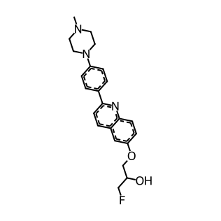 CN1CCN(c2ccc(-c3ccc4cc(OCC(O)CF)ccc4n3)cc2)CC1